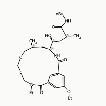 CCCCNC(=O)[C@H](C)C[C@H](O)[C@@H]1C[C@H](C)CCCCCN(CC)C(=O)c2cc(OCC)cc(c2)C(=O)N1